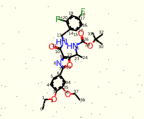 CCOc1ccc(-c2nc(C(=O)NCc3ccc(F)cc3F)c(C(C)NC(=O)OC(C)(C)C)o2)cc1OCC